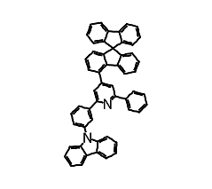 c1ccc(-c2cc(-c3cccc4c3-c3ccccc3C43c4ccccc4-c4ccccc43)cc(-c3cccc(-n4c5ccccc5c5ccccc54)c3)n2)cc1